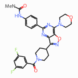 CNC(=O)Nc1ccc(-c2nc(N3CCOCC3)c3onc(C4CCN(C(=O)c5cc(F)cc(F)c5)CC4)c3n2)cc1